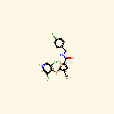 O=C(NCc1ccc(F)cc1)c1cc([N+](=O)[O-])c(Sc2c(Cl)cncc2Cl)s1